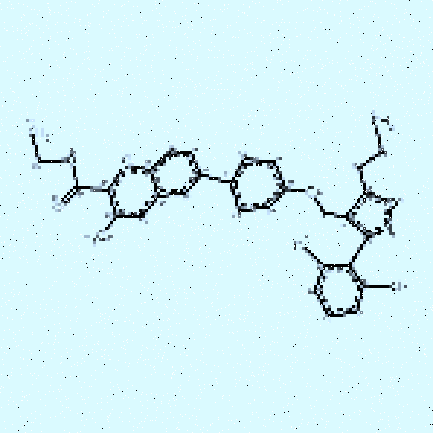 CCCc1onc(-c2c(Cl)cccc2Cl)c1COc1ccc(-c2ccc3nc(C(=O)OCC)c(C)cc3c2)cc1